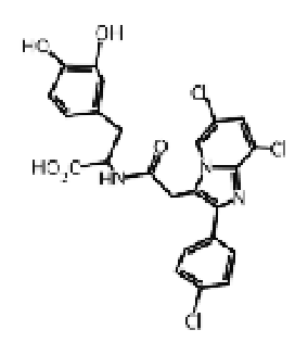 O=C(Cc1c(-c2ccc(Cl)cc2)nc2c(Cl)cc(Cl)cn12)NC(Cc1ccc(O)c(O)c1)C(=O)O